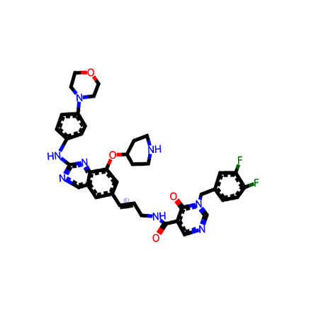 O=C(NC/C=C/c1cc(OC2CCNCC2)c2nc(Nc3ccc(N4CCOCC4)cc3)ncc2c1)c1cncn(Cc2ccc(F)c(F)c2)c1=O